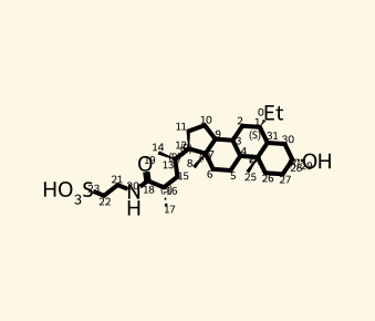 CC[C@H]1CC2C(CC[C@@]3(C)C2CC[C@@H]3[C@H](C)C[C@H](C)C(=O)NCCS(=O)(=O)O)[C@@]2(C)CC[C@@H](O)CC12